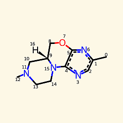 Cc1cnc2c(n1)OC[C@H]1CN(C)CCN21